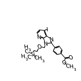 COC(=O)c1ccc(-c2nc3c(I)ccnc3n2COCC[Si](C)(C)C)cc1